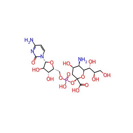 Nc1ccn([C@@H]2O[C@H](COP(=O)(O)O[C@@]3(C(=O)O)C[C@@H](O)[C@@H](N)C([C@H](O)[C@H](O)CO)O3)[C@H](O)C2O)c(=O)n1